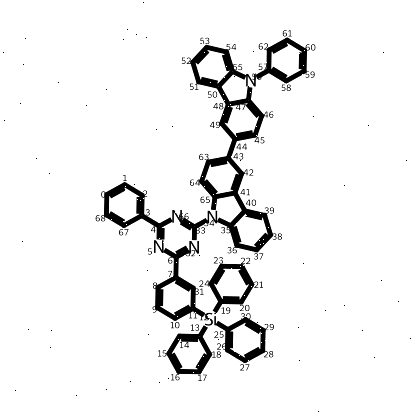 c1ccc(-c2nc(-c3cccc([Si](c4ccccc4)(c4ccccc4)c4ccccc4)c3)nc(-n3c4ccccc4c4cc(-c5ccc6c(c5)c5ccccc5n6-c5ccccc5)ccc43)n2)cc1